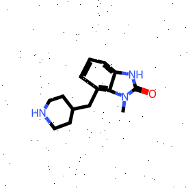 Cn1c(=O)[nH]c2cccc(CC3CCNCC3)c21